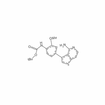 COc1cc(-c2csc3ccnc(N)c23)ccc1NC(=O)OC(C)(C)C